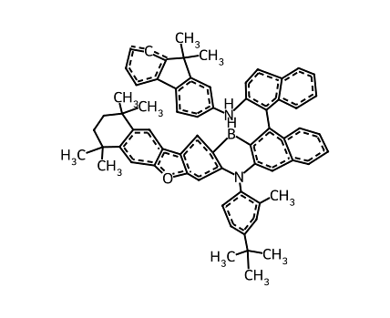 Cc1cc(C(C)(C)C)ccc1N1c2cc3oc4cc5c(cc4c3cc2Bc2c1cc1ccccc1c2-c1c(Nc2ccc3c(c2)C(C)(C)c2ccccc2-3)ccc2ccccc12)C(C)(C)CCC5(C)C